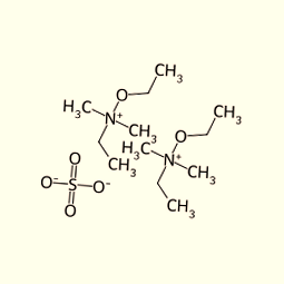 CCO[N+](C)(C)CC.CCO[N+](C)(C)CC.O=S(=O)([O-])[O-]